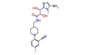 Bc1cnc([C@H](O)[C@@H](O)C(=O)NCC2CCN(c3ccc(F)cc3C#N)CC2)n1C